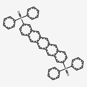 O=P(c1ccccc1)(c1ccccc1)c1ccc2cc3cc4cc5cc(P(=O)(c6ccccc6)c6ccccc6)ccc5cc4cc3cc2c1